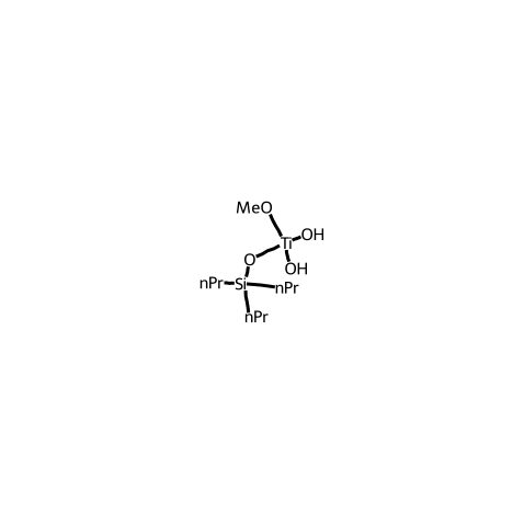 CCC[Si](CCC)(CCC)[O][Ti]([OH])([OH])[O]C